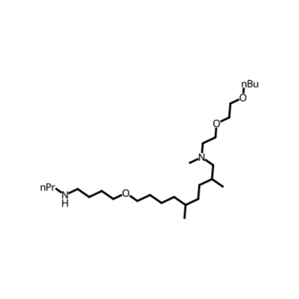 CCCCOCCOCCN(C)CC(C)CCC(C)CCCCOCCCCNCCC